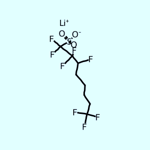 O=S(=O)([O-])C(F)(F)C(F)(F)C(F)CCCCC(F)(F)F.[Li+]